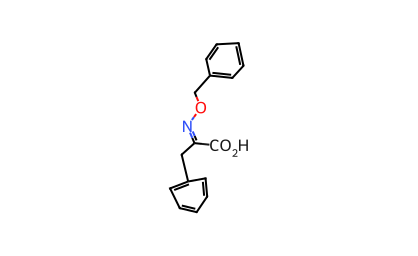 O=C(O)/C(Cc1ccccc1)=N\OCc1ccccc1